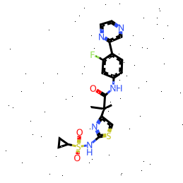 CC(C)(C(=O)Nc1ccc(-c2cnccn2)c(F)c1)c1csc(NS(=O)(=O)C2CC2)n1